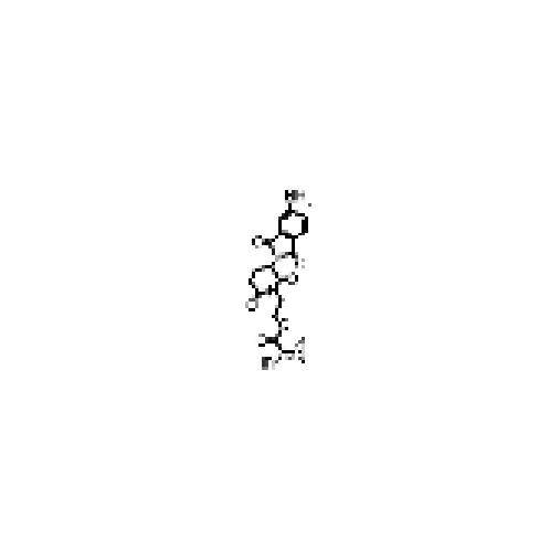 CC(C)[C@@H](C(=O)OCCN1C(=O)CCC(N2C(=O)c3ccc(N)cc3C2=O)C1=O)N(C)C